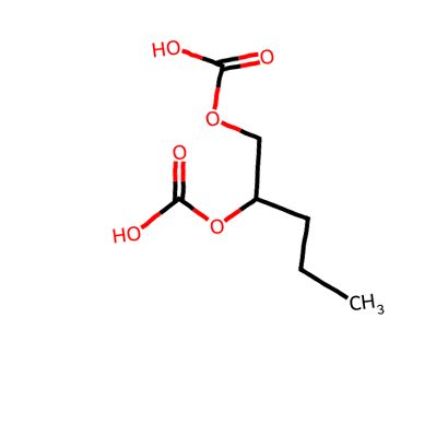 CCCC(COC(=O)O)OC(=O)O